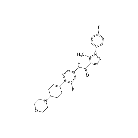 Cc1c(C(=O)Nc2cnc(C3=CCC(N4CCOCC4)CC3)c(F)c2)cnn1-c1ccc(F)cc1